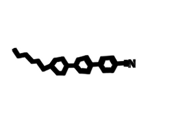 CCCCCCC1CCC(C2C=CC(c3ccc(C#N)cc3)=CC2)CC1